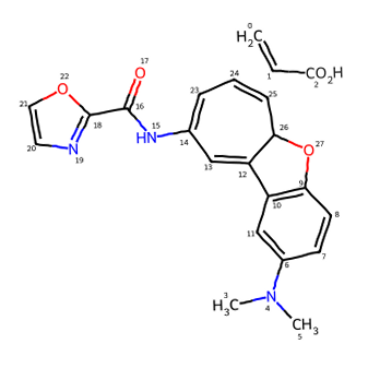 C=CC(=O)O.CN(C)c1ccc2c(c1)C1=CC(NC(=O)c3ncco3)=CC=CC1O2